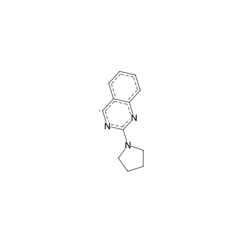 [c]1nc(N2CCCC2)nc2ccccc12